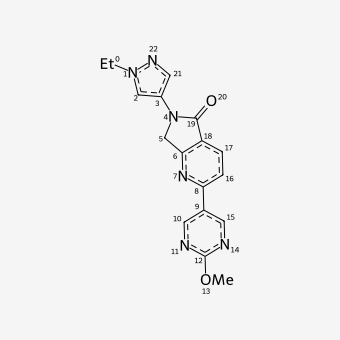 CCn1cc(N2Cc3nc(-c4cnc(OC)nc4)ccc3C2=O)cn1